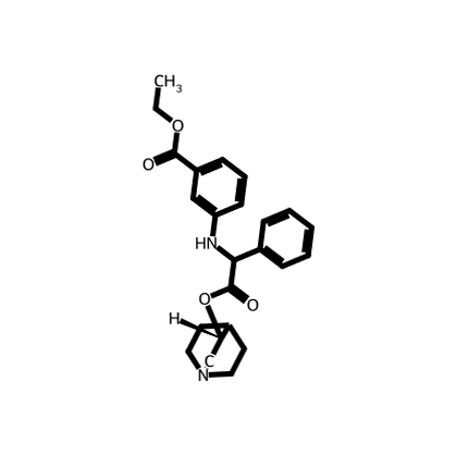 CCOC(=O)c1cccc(NC(C(=O)O[C@H]2CN3CCC2CC3)c2ccccc2)c1